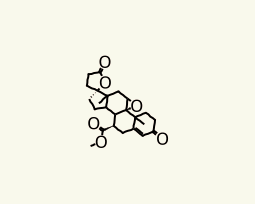 COC(=O)[C@@H]1CC2=CC(=O)CCC2(C)[C@@]23OC2CC2(C)C(CC[C@@]24CCC(=O)O4)C13